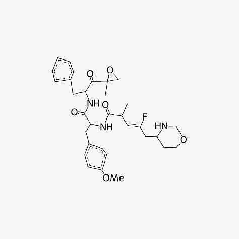 COc1ccc(CC(NC(=O)C(C)/C=C(\F)CC2CCOCN2)C(=O)NC(Cc2ccccc2)C(=O)C2(C)CO2)cc1